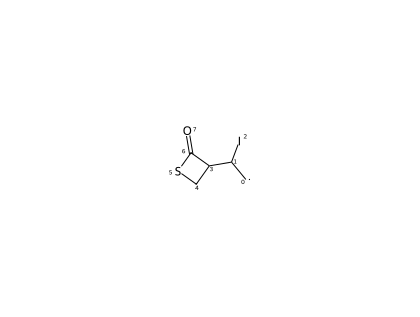 [CH2]C(I)C1CSC1=O